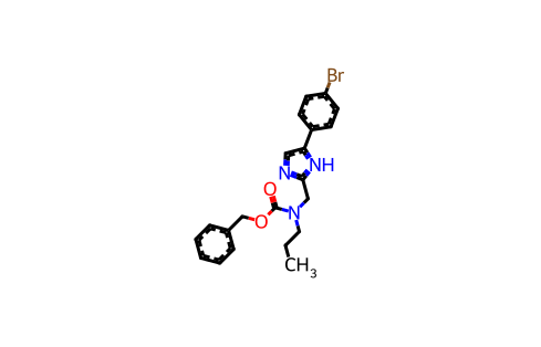 CCCN(Cc1ncc(-c2ccc(Br)cc2)[nH]1)C(=O)OCc1ccccc1